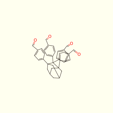 O=Cc1ccc(C23CC4CC(C2)CC(c2ccc(C=O)cc2)(C4)C3(c2ccc(C=O)cc2)c2ccc(C=O)cc2)cc1